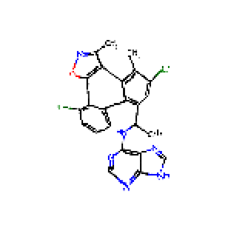 Cc1noc2c3c(F)cccc3c3c(C(C)Nc4ncnc5[nH]cnc45)cc(Cl)c(C)c3c12